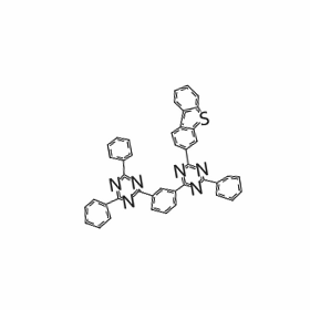 c1ccc(-c2nc(-c3ccccc3)nc(-c3cccc(-c4nc(-c5ccccc5)nc(-c5ccc6c(c5)sc5ccccc56)n4)c3)n2)cc1